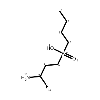 CCCCP(=O)(O)CCC(N)F